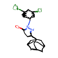 O=C1CC(C23CC4CC(CC(C4)C2)C3)=NN1c1cc(Cl)cc(Cl)c1